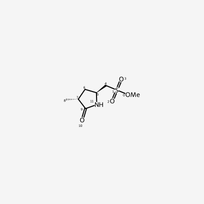 COS(=O)(=O)C[C@@H]1C[C@@H](C)C(=O)N1